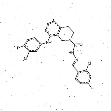 O=C(N/N=C/c1ccc(F)cc1Cl)N1CCc2ncnc(Nc3ccc(F)c(Cl)c3)c2C1